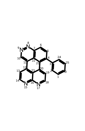 [c]1ccc(-c2ccc3nncc4c5ccnc6nccc(c2c34)c65)cc1